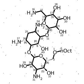 CCCCCCCCOC[C@H]1OC(OC2[C@@H](O)C(O[C@H]3OC(CN)[C@@H](O)C(O)C3O)C(N)C[C@H]2N)[C@H](O)C(N)[C@@H]1O